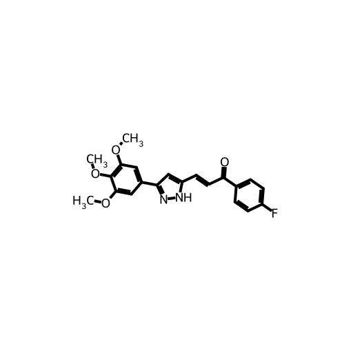 COc1cc(-c2cc(/C=C/C(=O)c3ccc(F)cc3)[nH]n2)cc(OC)c1OC